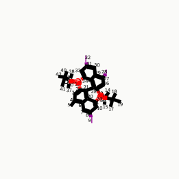 COc1cc(C)c2cc(I)cc(O[Si](C)(C)C(C)(C)C)c2c1-c1c(OC)cc(I)c2cc(I)cc(O[Si](C)(C)C(C)(C)C)c12